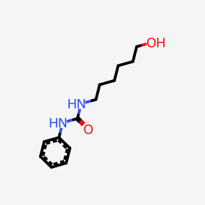 O=C(NCCCCCCO)Nc1ccccc1